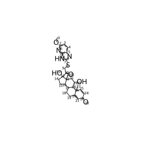 COc1ccc2nc(SCC(=O)[C@@]3(O)CCC4C5CCC6=CC(=O)C=CC6(C)C5[C@@H](O)CC43C)[nH]c2n1